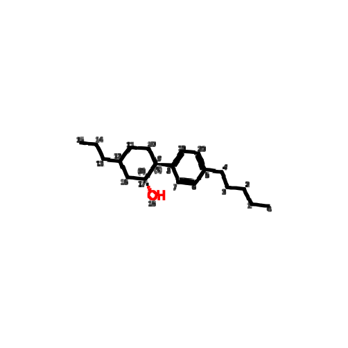 CCCCCc1ccc([C@@H]2CCC(CCC)C[C@H]2O)cc1